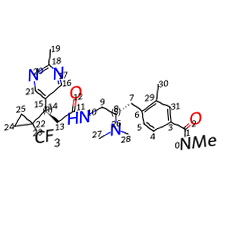 CNC(=O)c1ccc(C[C@@H](CNC(=O)C[C@H](c2cnc(C)nc2)C2(C(F)(F)F)CC2)N(C)C)c(C)c1